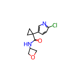 O=C(NC1COC1)C1(c2ccc(Cl)nc2)CC1